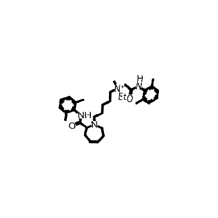 CC[N+](C)(CCCCCN1CCCCCC1C(=O)Nc1c(C)cccc1C)CC(=O)Nc1c(C)cccc1C